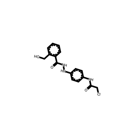 O=C(CCl)Nc1ccc(NNC(=O)c2ccccc2CO)cc1